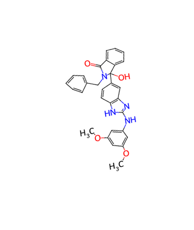 COc1cc(Nc2nc3cc(C4(O)c5ccccc5C(=O)N4Cc4ccccc4)ccc3[nH]2)cc(OC)c1